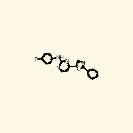 Fc1ccc(Nc2nccc(-c3cnc(-c4ccccc4)o3)n2)cc1